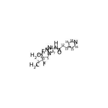 C=C/C(F)=C(/Cn1cc(NC(=O)CCc2ccncc2)nn1)C(=C)F